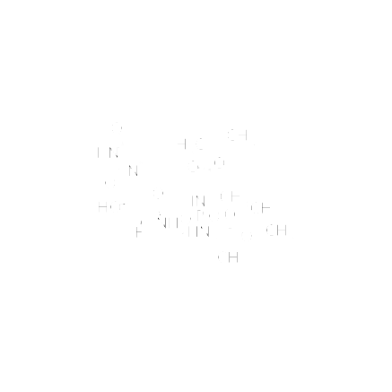 CC(C)OC(=O)[C@H](C)NP(=O)(N[C@@H](C)C(=O)OC(C)C)OC[C@@]1(N)O[C@@H](n2ccc(=O)[nH]c2=O)[C@H](O)[C@@H]1F